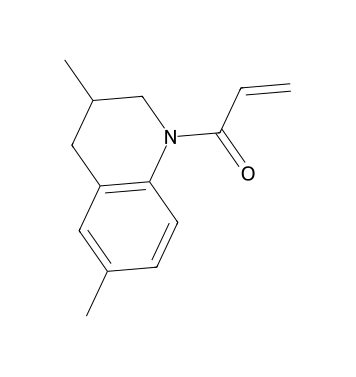 C=CC(=O)N1CC(C)Cc2cc(C)ccc21